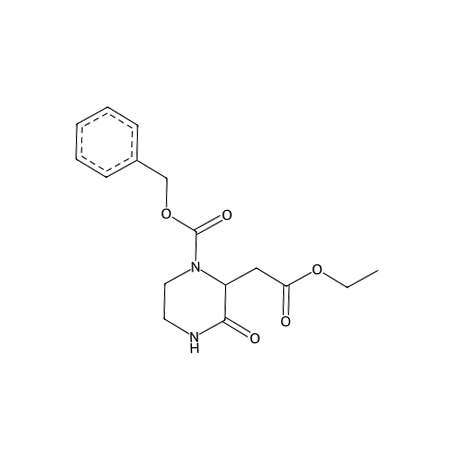 CCOC(=O)CC1C(=O)NCCN1C(=O)OCc1ccccc1